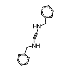 C(#CNCc1ccccc1)NCc1ccccc1